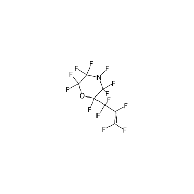 FC(F)=C(F)C(F)(F)C1(F)OC(F)(F)C(F)(F)N(F)C1(F)F